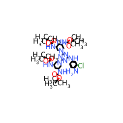 CC(C)(C)OC(=O)N[C@@H]1C[C@H](NC(=O)OC(C)(C)C)CN(c2nc(Nc3ccc(N)c(Cl)c3)nc(N3C[C@H](NC(=O)OC(C)(C)C)C[C@H](NC(=O)OC(C)(C)C)C3)n2)C1